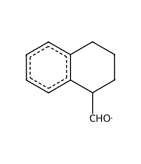 O=[C]C1CCCc2ccccc21